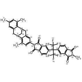 Cc1cc(C)c2c(c1)CN1CN2Cc2cc(N3C(=O)c4ccc(C(c5ccc6c(c5)C(=O)N(C)C6=O)(C(F)(F)F)C(F)(F)F)cc4C3=O)cc(C)c21